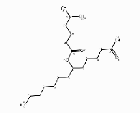 CCCCCCCC(CCCCC(=O)O)OC(=O)CCCN(C)C